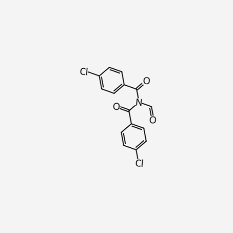 O=CN(C(=O)c1ccc(Cl)cc1)C(=O)c1ccc(Cl)cc1